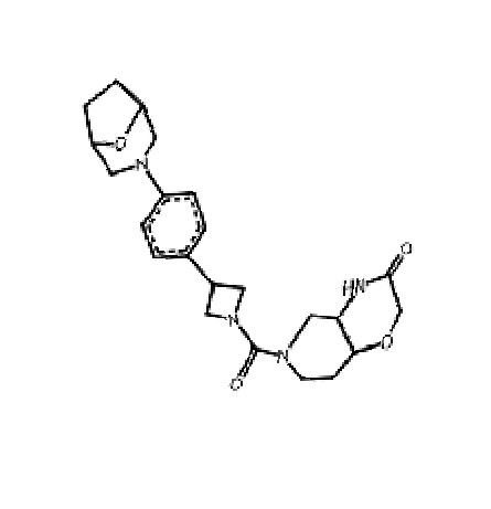 O=C1COC2CCN(C(=O)N3CC(c4ccc(N5CC6CCC(C5)O6)cc4)C3)CC2N1